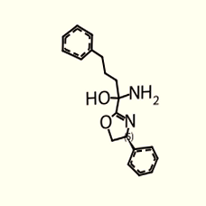 NC(O)(CCCc1ccccc1)C1=N[C@@H](c2ccccc2)CO1